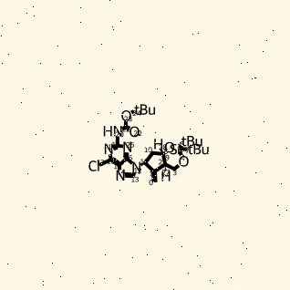 C=C1[C@@H]2CO[Si](C(C)(C)C)(C(C)(C)C)O[C@H]2C[C@@H]1n1cnc2c(Cl)nc(NC(=O)OC(C)(C)C)nc21